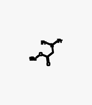 CC(C)N(CC(=O)OC(C)(C)C)C(C)C